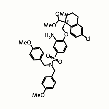 COc1ccc(CN(Cc2ccc(OC)cc2)S(=O)(=O)c2ccc(OC[C@@]3(C(OC)OC)CCCc4cc(Cl)ccc43)c(N)c2)cc1